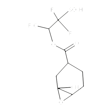 CC12CC(C(=O)OC(C(F)(F)F)C(F)(F)S(=O)(=O)O)CCC1O2